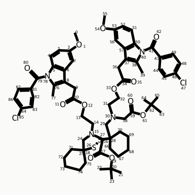 COc1ccc2c(c1)c(CC(=O)OCCN(CC(=O)OC(C)(C)C)CC1(SSC3(CN(CCOC(=O)Cc4c(C)n(C(=O)c5ccc(Cl)cc5)c5ccc(OC)cc45)CC(=O)OC(C)(C)C)CCCCC3)CCCCC1)c(C)n2C(=O)c1ccc(Cl)cc1